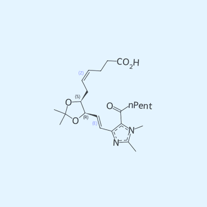 CCCCCC(=O)c1c(/C=C/[C@H]2OC(C)(C)O[C@H]2C/C=C\CCC(=O)O)nc(C)n1C